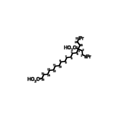 CC(C)CCC(CCCCCCCCCCCCCC(=O)O)(CCC(C)C)C(=O)O